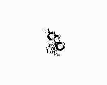 CC(C)(C)C[C@@]12CCO[C@@H](C1OP(=O)(O)OC(C)(C)C)[C@H](n1ccc(N)nc1=O)O2